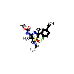 C#Cc1ccc(F)c([C@]2(C)CS(=O)(=NCC(F)(F)F)C(C)(C)C(NC(=O)OC(C)(C)C)=N2)c1